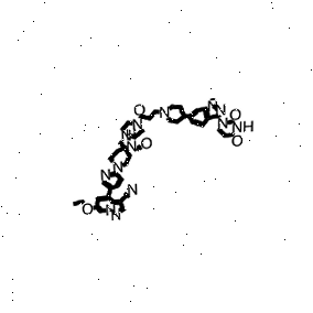 CCOc1cc(-c2ccc(N3CCC(CN4CCN(C(=O)CCN5CCC(c6ccc7c(N8CCC(=O)NC8=O)nn(C)c7c6)CC5)CC4)(NC=O)CC3)nc2)c2c(C#N)cnn2c1